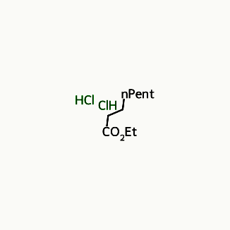 CCCCCCCC(=O)OCC.Cl.Cl